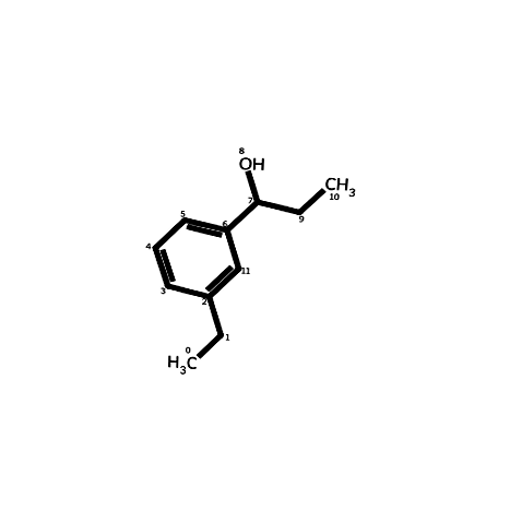 CCc1cccc(C(O)CC)c1